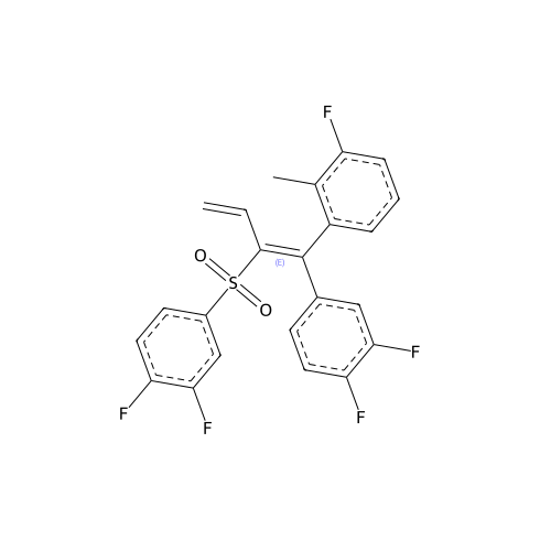 C=C/C(=C(/c1ccc(F)c(F)c1)c1cccc(F)c1C)S(=O)(=O)c1ccc(F)c(F)c1